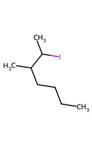 CCCCC(C)C(C)I